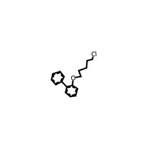 ClCCCCCOc1ccccc1-c1ccccc1